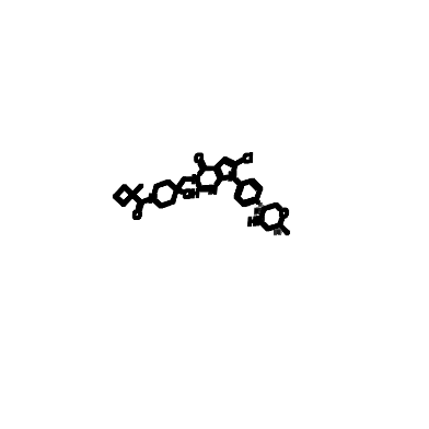 C[C@H]1CN[C@H](c2ccc(-n3c(Cl)cc4c(=O)n(CC5(O)CCN(C(=O)C6(C)CCC6)CC5)cnc43)cc2)CO1